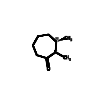 C[C@H]1CCCCC(=O)N1C